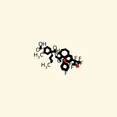 CCCC[C@]1(C(=O)N2CC[C@]3(S(=O)(=O)c4ccc(F)cc4)c4ccc(C(F)(C(F)(F)F)C(F)(F)F)cc4CCC[C@H]23)CC[C@@H](C(=O)O)[C@@H](C)C1